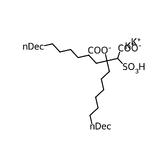 CCCCCCCCCCCCCCCCC(CCCCCCCCCCCCCCCC)(C(=O)[O-])C(C(=O)[O-])S(=O)(=O)O.[K+].[K+]